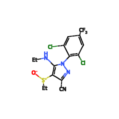 CCNc1c([S+]([O-])CC)c(C#N)nn1-c1c(Cl)cc(C(F)(F)F)cc1Cl